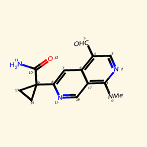 CNc1ncc(C=O)c2cc(C3(C(N)=O)CC3)ncc12